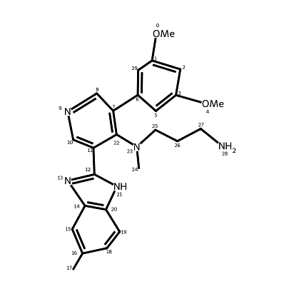 COc1cc(OC)cc(-c2cncc(-c3nc4cc(C)ccc4[nH]3)c2N(C)CCCN)c1